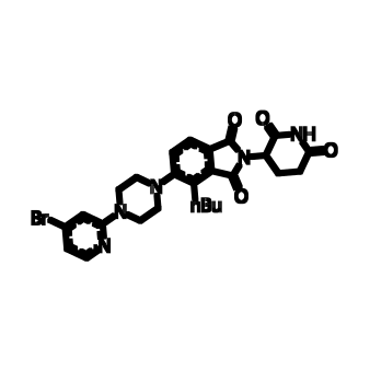 CCCCc1c(N2CCN(c3cc(Br)ccn3)CC2)ccc2c1C(=O)N(C1CCC(=O)NC1=O)C2=O